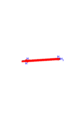 CCCCCCCCCCCCCC(=O)N[C@@H](CCC(=O)NCCOCCOCCOCCOCCOCCOCCOCCOCCOCCOCCOCCOCCOCCOCCOCCOCCOCCOCCOCCOCCOCCOCCOCCOCCOCCOCCOCCOCCOCCOCCOCCOCCOCCOCCOCCOCCC(=O)NCCON)C(=O)O